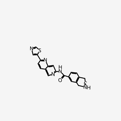 O=C(Nc1cc2nc(-c3cncs3)ccc2cn1)c1ccc2c(c1)CNCC2